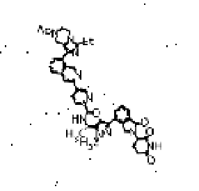 CCc1nc(-c2cccc3cc(-c4ccc(C(=O)N[C@@H](C)c5cc(-c6cccc7c6CN(C6CCC(=O)NC6=O)C7=O)nn5C)nc4)ncc23)c2n1CCN(C(C)=O)C2